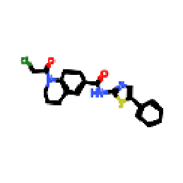 O=C(Nc1ncc(-c2ccccc2)s1)c1ccc2c(c1)CCCN2C(=O)CCl